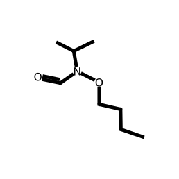 CCCCON(C=O)C(C)C